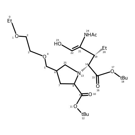 CCOCCOCC1CC(C(=O)OC(C)(C)C)N([C@@H](C(=O)OC(C)(C)C)[C@@H](CC)C(=CO)NC(C)=O)C1